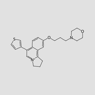 c1cc(-c2c[n+]3c(c4cc(OCCCN5CCOCC5)ccc24)CCC3)cs1